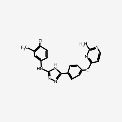 Nc1nccc(Oc2ccc(-c3nnc(Nc4ccc(Cl)c(C(F)(F)F)c4)[nH]3)cc2)n1